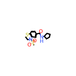 CS(=O)(=O)N1CCSc2ccc(C(=O)NC3CCCC3)cc21